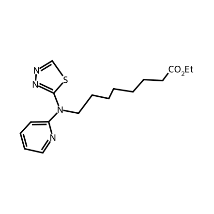 CCOC(=O)CCCCCCCN(c1ccccn1)c1nncs1